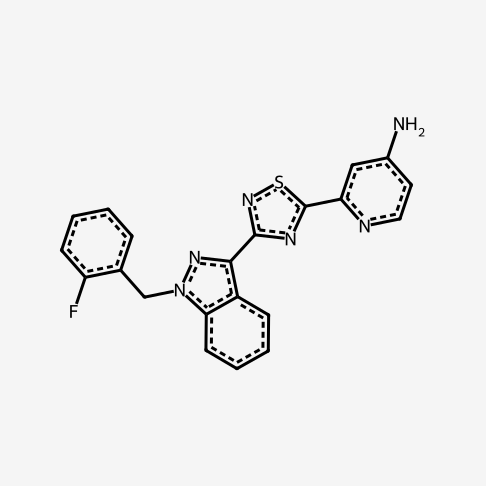 Nc1ccnc(-c2nc(-c3nn(Cc4ccccc4F)c4ccccc34)ns2)c1